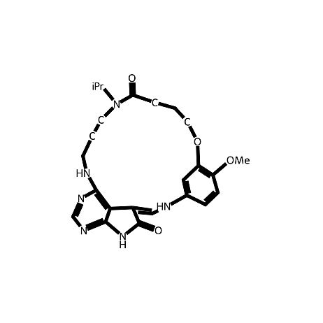 COc1ccc2cc1OCCCC(=O)N(C(C)C)CCCNc1ncnc3c1/C(=C/N2)C(=O)N3